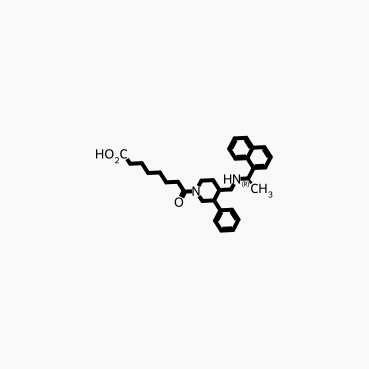 C[C@@H](NCC1CCN(C(=O)CCCCCCC(=O)O)CC1c1ccccc1)c1cccc2ccccc12